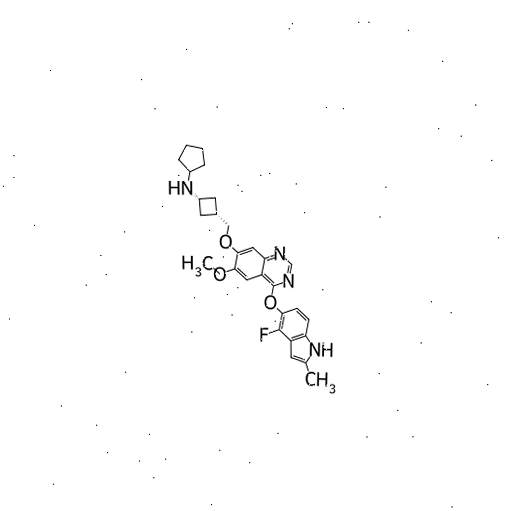 COc1cc2c(Oc3ccc4[nH]c(C)cc4c3F)ncnc2cc1OC[C@H]1C[C@@H](NC2CCCC2)C1